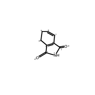 O=C1NC(=O)C2=C1C=CCC2